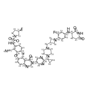 N#Cc1c(NS(=O)(=O)N2CC[C@@H](F)C2)ccc(F)c1Oc1ccc2ncn(-c3cnc(C4(N5CCN(CC6CN(c7ccc(NC8CCC(=O)NC8=O)cc7F)C6)CC5)CC4)nc3)c(=O)c2c1